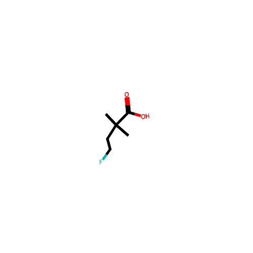 CC(C)(CCF)C(=O)O